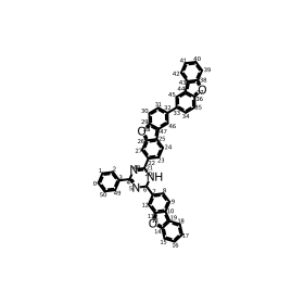 c1ccc(C2=NC(c3ccc4c(c3)oc3ccccc34)NC(c3ccc4c(c3)oc3ccc(-c5ccc6oc7ccccc7c6c5)cc34)=N2)cc1